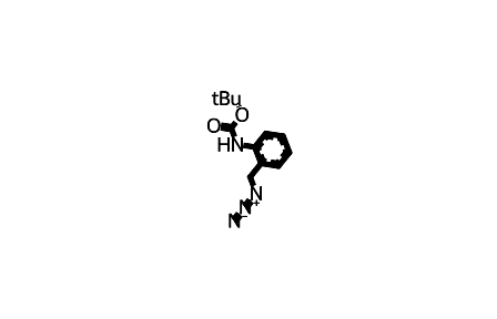 CC(C)(C)OC(=O)Nc1ccccc1CN=[N+]=[N-]